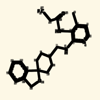 Cc1ccnc(NCC2CCC3(CC2)OCc2ccccc23)c1NC(=O)CC(F)(F)F